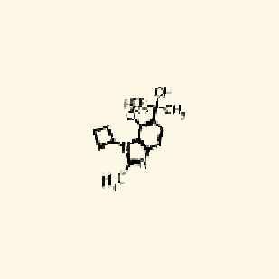 Cc1nc2ccc(C(C)(C)O)c(OC(F)(F)F)c2n1C1CCC1